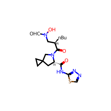 CCCC[C@H](CN(O)C=O)C(=O)N1CC2(CC2)C[C@H]1C(=O)Nc1nncs1